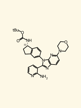 CC(C)(C)OC(=O)N[C@H]1CCc2cc(-n3c(-c4cccnc4N)nc4ccc(N5CCOCC5)nc43)ccc21